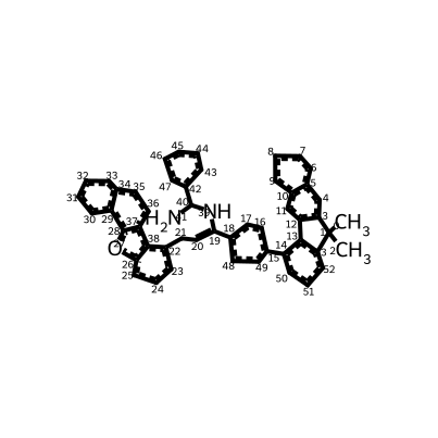 CC1(C)c2cc3ccccc3cc2-c2c(-c3ccc(/C(=C/Cc4cccc5oc6c7ccccc7ccc6c45)NC(N)c4ccccc4)cc3)cccc21